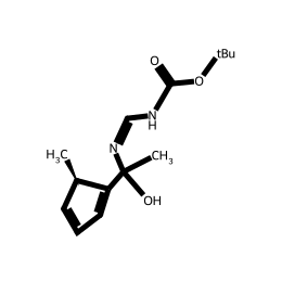 C[C@@H]1C=CC=C1C(C)(O)/N=C\NC(=O)OC(C)(C)C